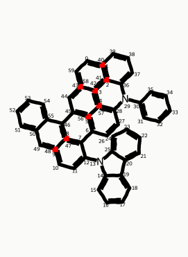 c1ccc(-c2cc(-c3ccccc3-n3c4ccccc4c4ccccc43)ccc2N(c2ccccc2)c2ccccc2-c2ccc(-c3cccc4ccccc34)cc2)cc1